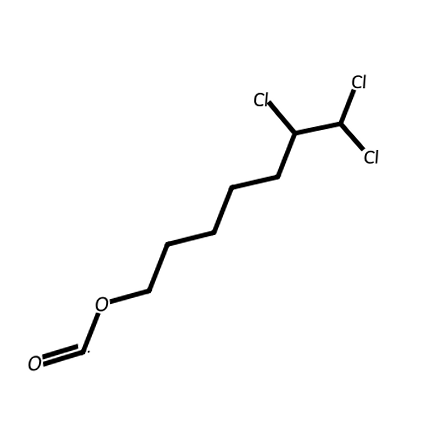 O=[C]OCCCCCC(Cl)C(Cl)Cl